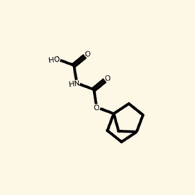 O=C(O)NC(=O)OC12CCC(CC1)C2